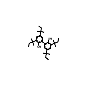 CCC(C)(C)c1cc(-c2cc(C(C)(C)CC)cc(C(C)(C)CC)c2O)c(O)c(C(C)(C)CC)c1